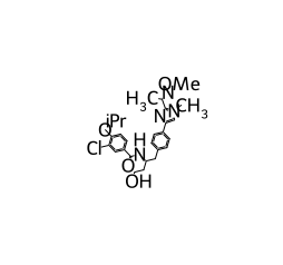 CO/N=C(\C)c1nc(-c2ccc(CC(CCO)NC(=O)c3ccc(OC(C)C)c(Cl)c3)cc2)cn1C